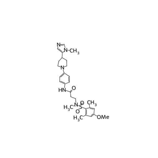 COc1cc(C)c(S(=O)(=O)N(C)CCC(=O)Nc2ccc(N3CCC(c4cncn4C)CC3)cc2)c(C)c1